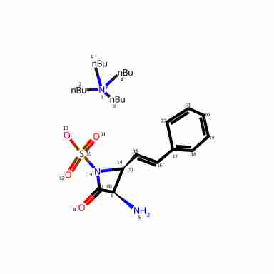 CCCC[N+](CCCC)(CCCC)CCCC.N[C@H]1C(=O)N(S(=O)(=O)[O-])[C@H]1C=Cc1ccccc1